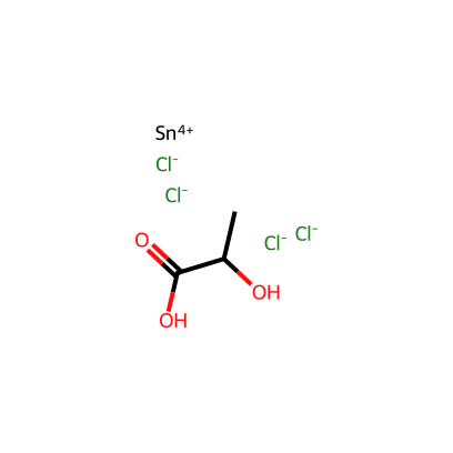 CC(O)C(=O)O.[Cl-].[Cl-].[Cl-].[Cl-].[Sn+4]